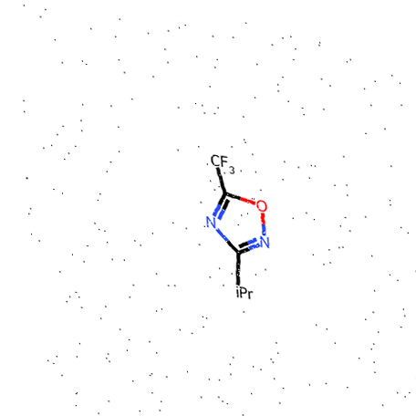 CC(C)c1noc(C(F)(F)F)n1